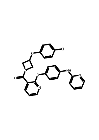 O=C(c1cccnc1Oc1ccc(Nc2ccccn2)cc1)N1CC(Oc2ccc(Cl)cc2)C1